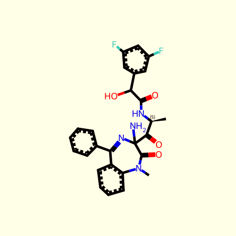 C[C@H](NC(=O)C(O)c1cc(F)cc(F)c1)C(=O)C1(N)N=C(c2ccccc2)c2ccccc2N(C)C1=O